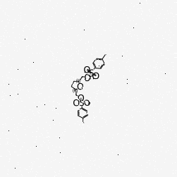 Cc1ccc(S(=O)(=O)OC[C@H]2CC[C@@H](COS(=O)(=O)c3ccc(C)cc3)O2)cc1